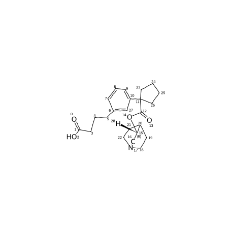 O=C(O)CCCc1cccc(C2(C(=O)O[C@H]3CN4CCC3CC4)CCCC2)c1